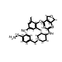 Cc1cc(C#N)cc(C)c1Oc1nc(NC2CCN(Cc3ccc(SN)cc3)CC2)nc2c1COC2